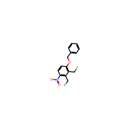 O=[N+]([O-])c1ccc(OCc2ccccc2)c(CF)c1CF